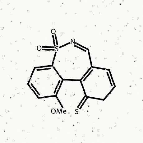 COc1cccc2c1C1=C(C=CCC1=S)C=NS2(=O)=O